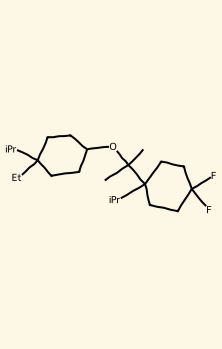 CCC1(C(C)C)CCC(OC(C)(C)C2(C(C)C)CCC(F)(F)CC2)CC1